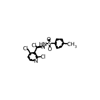 Cc1ccc(S(=O)(=O)NN=C(Cl)c2c(Cl)ccnc2Cl)cc1